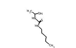 CCCCCNC(=S)NC(C)O